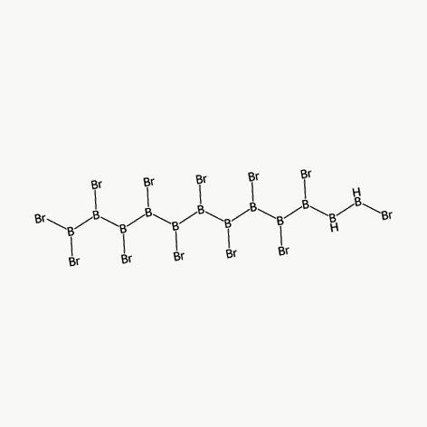 BrBBB(Br)B(Br)B(Br)B(Br)B(Br)B(Br)B(Br)B(Br)B(Br)B(Br)Br